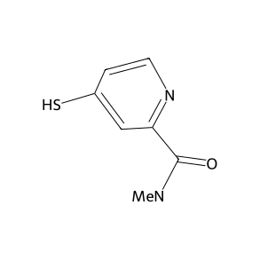 CNC(=O)c1cc(S)ccn1